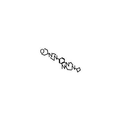 c1cc2c(cc1N1CCN(C3CCOCC3)CC1)nc1n2CCN(C2CCC2)CC1